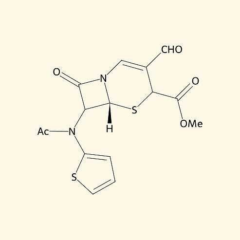 COC(=O)C1S[C@@H]2C(N(C(C)=O)c3cccs3)C(=O)N2C=C1C=O